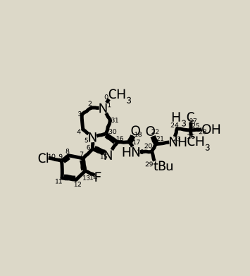 CN1CCCn2c(-c3cc(Cl)ccc3F)nc(C(=O)NC(C(=O)NCC(C)(C)O)C(C)(C)C)c2C1